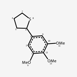 COc1cc(C2CCCS2)cc(OC)c1OC